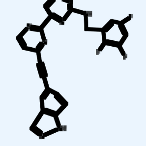 Fc1cc(F)c(F)c(CNc2nccc(-c3nccc(C#Cc4ccc5[nH]ncc5c4)n3)n2)c1